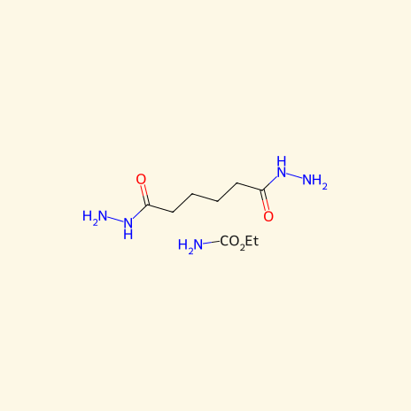 CCOC(N)=O.NNC(=O)CCCCC(=O)NN